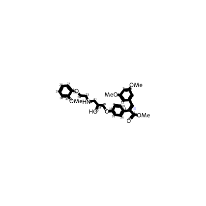 COC(=O)/C(=C/c1cc(OC)cc(OC)c1)c1ccc(OCC(O)CNCCOc2ccccc2OC)cc1